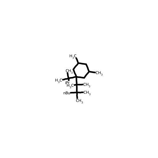 CCCCC(C)(C)C(C)(C)C1(C(C)(C)C(C)C)CC(C)CC(C)C1